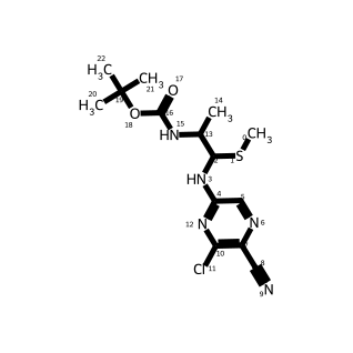 CSC(Nc1cnc(C#N)c(Cl)n1)C(C)NC(=O)OC(C)(C)C